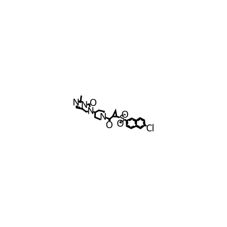 Cc1ncc2n1C(=O)N(C1CCN(C(=O)C3CC3S(=O)(=O)c3ccc4cc(Cl)ccc4c3)CC1)C2